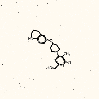 Cc1c(Cl)nc(CO)nc1N1CCC(Oc2ccc3c(c2)CCCN3)CC1